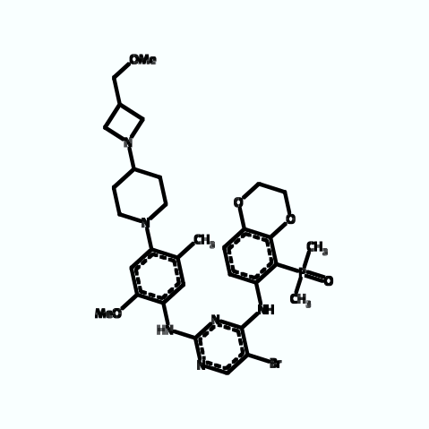 COCC1CN(C2CCN(c3cc(OC)c(Nc4ncc(Br)c(Nc5ccc6c(c5P(C)(C)=O)OCCO6)n4)cc3C)CC2)C1